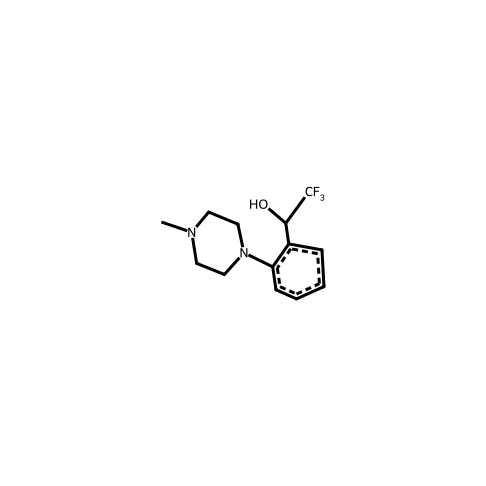 CN1CCN(c2ccccc2C(O)C(F)(F)F)CC1